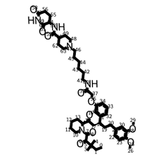 CCC(C)(C)C(=O)C(=O)N1CCCCC1C(=O)C[C@H](CCc1ccc(OC)c(OC)c1)c1cccc(OCC(=O)NCCCCCCN2CCC(C(=O)NC3CCC(=O)NC3=O)CC2)c1